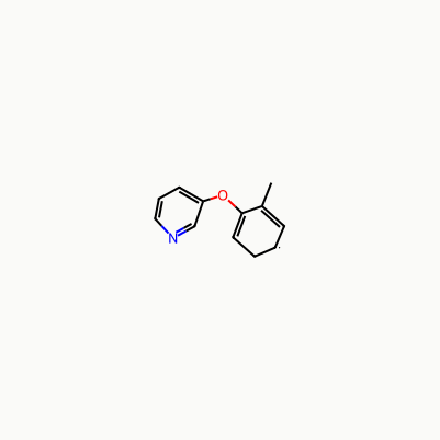 CC1=C[CH]CC=C1Oc1cccnc1